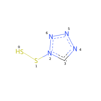 SSn1[c]nnn1